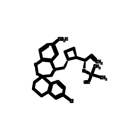 C=C[C@H](O[Si](C)(C)C(C)(C)C)[C@@H]1CC[C@H]1CN1CC2(CCCc3cc(Cl)ccc32)COc2ccc(C(=O)O)cc21